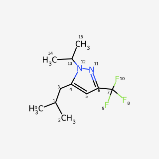 CC(C)Cc1cc(C(F)(F)F)nn1C(C)C